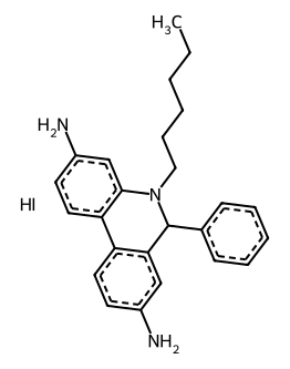 CCCCCCN1c2cc(N)ccc2-c2ccc(N)cc2C1c1ccccc1.I